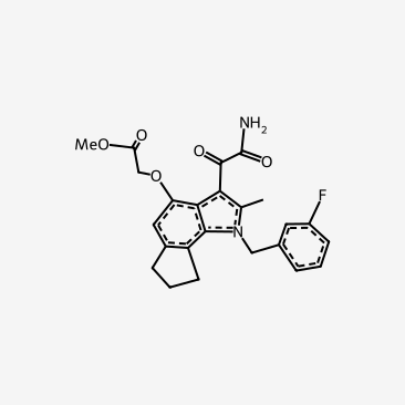 COC(=O)COc1cc2c(c3c1c(C(=O)C(N)=O)c(C)n3Cc1cccc(F)c1)CCC2